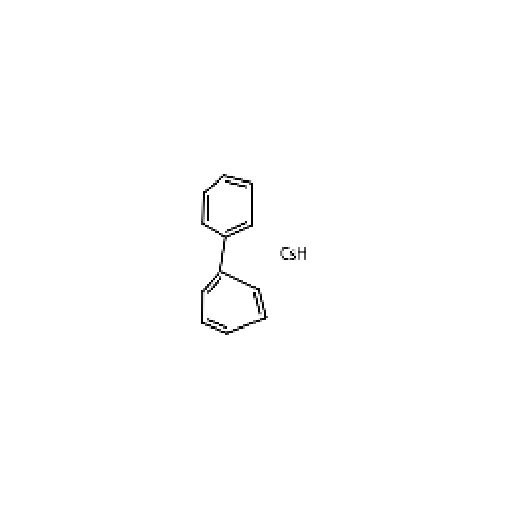 [CsH].c1ccc(-c2ccccc2)cc1